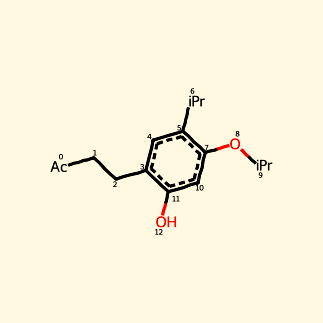 CC(=O)CCc1cc(C(C)C)c(OC(C)C)cc1O